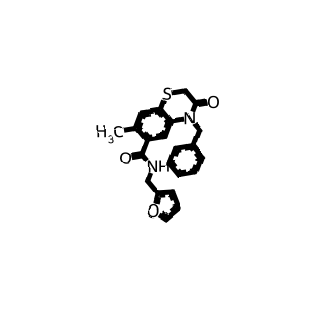 Cc1cc2c(cc1C(=O)NCc1ccco1)N(Cc1ccccc1)C(=O)CS2